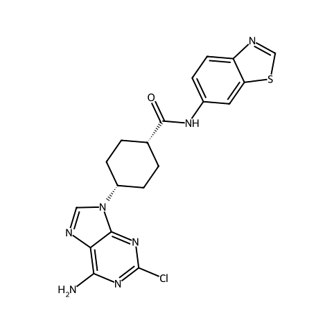 Nc1nc(Cl)nc2c1ncn2[C@H]1CC[C@@H](C(=O)Nc2ccc3ncsc3c2)CC1